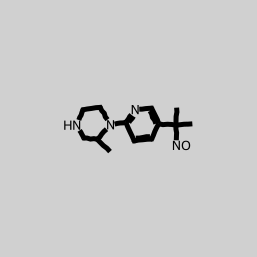 CC1CNCCN1c1ccc(C(C)(C)N=O)cn1